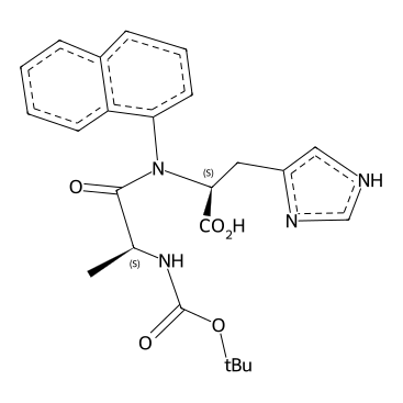 C[C@H](NC(=O)OC(C)(C)C)C(=O)N(c1cccc2ccccc12)[C@@H](Cc1c[nH]cn1)C(=O)O